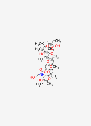 CC[C@@H](C(=O)[C@@H](C)[C@@H](O)[C@H](C)[C@@H]1O[C@@H]([C@@H](CC)C(=O)O)CCC1C)[C@H]1O[C@]2(C=C[C@@H](OC(=O)NCCO)[C@]3(CC[C@@](C)([C@H]4CC[C@](O)(CC)[C@H](C)O4)O3)O2)[C@H](C)C[C@@H]1C